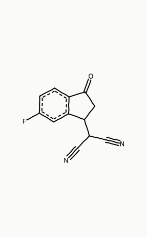 N#CC(C#N)C1CC(=O)c2ccc(F)cc21